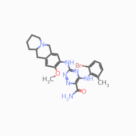 COc1cc2c(cc1Nc1nnc(C(N)=O)c(Nc3c(C)cccc3Br)n1)CN1CCCCC1C2